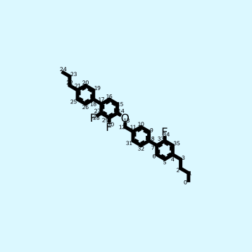 CCCCc1ccc(-c2ccc(COc3ccc(-c4ccc(CCC)cc4)c(F)c3F)cc2)c(F)c1